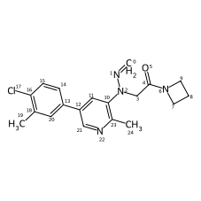 C=NN(CC(=O)N1CCC1)c1cc(-c2ccc(Cl)c(C)c2)cnc1C